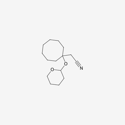 N#CCC1(OC2CCCCO2)CCCCCCC1